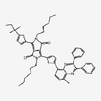 CCCCCCN1C(=O)C2=C(c3ccc(C(C)(C)CC)s3)N(CCCCCC)C(=O)C2=C1c1ccc(-c2ccc(C)c3nc(-c4ccccc4)c(-c4ccccc4)nc23)s1